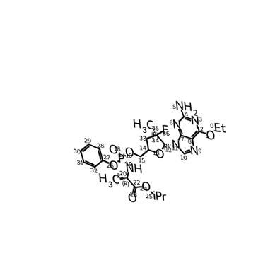 CCOc1nc(N)nc2c1ncn2[C@@H]1OC(COP(=O)(N[C@H](C)C(=O)OC(C)C)Oc2ccccc2)C[C@@]1(C)F